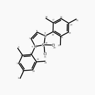 Cc1cc(C)c(N2C=CN(c3c(C)cc(C)cc3C)[Si]2(Cl)Cl)c(C)c1